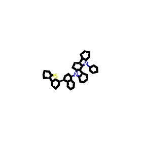 c1ccc(-n2c3ccccc3c3ccc4c(c5ccccc5n4-c4ccc(-c5cccc6c5sc5ccccc56)c5ccccc45)c32)cc1